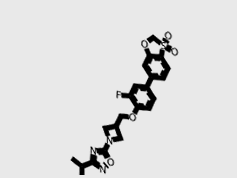 CC(C)c1noc(N2CC(COc3ccc(-c4ccc5c(c4)OCS5(=O)=O)cc3F)C2)n1